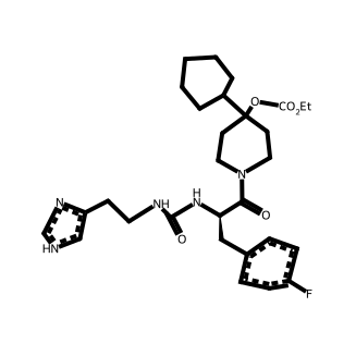 CCOC(=O)OC1(C2CCCCC2)CCN(C(=O)[C@@H](Cc2ccc(F)cc2)NC(=O)NCCc2c[nH]cn2)CC1